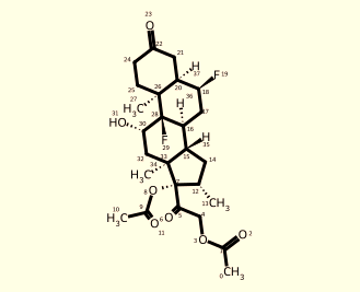 CC(=O)OCC(=O)[C@]1(OC(C)=O)[C@@H](C)C[C@H]2[C@@H]3C[C@H](F)[C@@H]4CC(=O)CC[C@]4(C)[C@@]3(F)[C@@H](O)C[C@@]21C